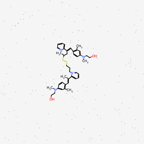 C/C(=C\c1ccc(N(C)CCO)cc1C)c1cccc[n+]1CCCSSC(C)C/C(=C\c1ccc(N(C)CCO)cc1C)c1ccccn1